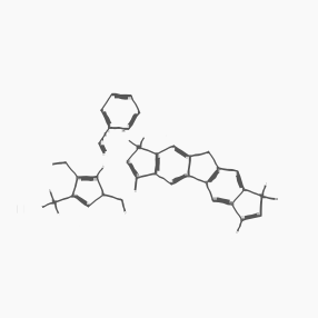 CCC1=[C]([Zr+2](=[CH]c2ccccc2)[C]2=C(C)c3cc4c(cc3C2(C)C)Cc2cc3c(cc2-4)C(C)=CC3(C)C)C(CC)C=C1C(C)(C)C.[Cl-].[Cl-]